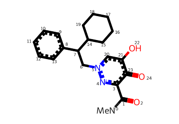 CNC(=O)c1nn(CC(c2ccccc2)C2CCCCC2)cc(O)c1=O